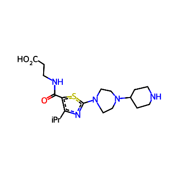 CC(C)c1nc(N2CCN(C3CCNCC3)CC2)sc1C(=O)NCCC(=O)O